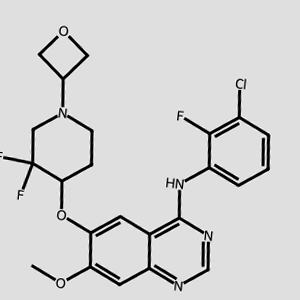 COc1cc2ncnc(Nc3cccc(Cl)c3F)c2cc1OC1CCN(C2COC2)CC1(F)F